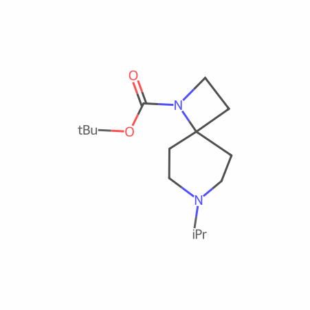 CC(C)N1CCC2(CC1)CCN2C(=O)OC(C)(C)C